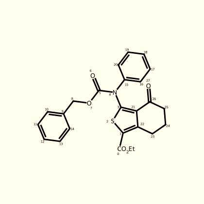 CCOC(=O)c1sc(N(C(=O)OCc2ccccc2)c2ccccc2)c2c1CCCC2=O